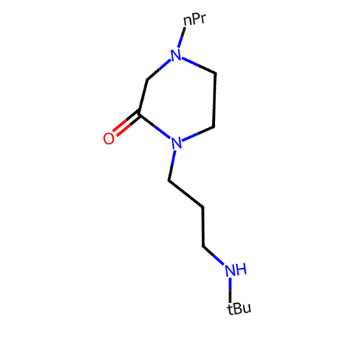 CCCN1CCN(CCCNC(C)(C)C)C(=O)C1